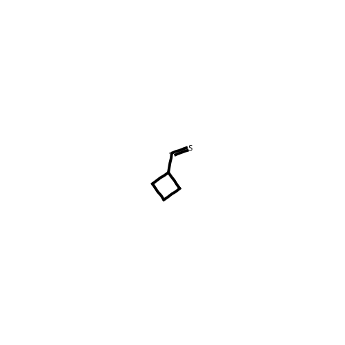 S=[C]C1CCC1